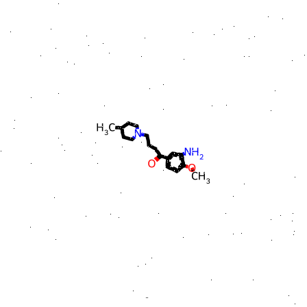 COc1ccc(C(=O)CCCN2CCC(C)CC2)cc1N